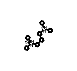 C[Si]1(C)c2ccccc2-c2nc(-c3cccc(-c4cccc(-c5cccc(-c6nc(-c7ccccc7)nc(-c7ccccc7)n6)c5)c4)c3)nc(-c3ccccc3)c21